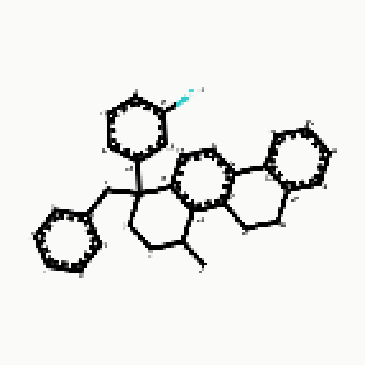 CC1CCC(Cc2ccccc2)(c2cccc(F)c2)c2ccc3c(c21)CCc1ccccc1-3